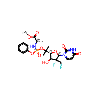 CC(C)OC(=O)[C@H](C)N[P@@](=O)(Oc1ccccc1)OC(C)(C)[C@H]1O[C@@H](n2ccc(=O)[nH]c2=O)[C@@](F)(CF)C1O